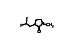 CN1CCC(CC(F)F)C1=O